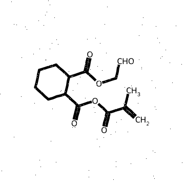 C=C(C)C(=O)OC(=O)C1CCCCC1C(=O)OCC=O